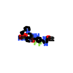 CCOc1cncc(-c2ccc(C(=O)N[C@H](CCN3CCCCC3)c3cc(NS(=O)(=O)C4CC4)ccn3)c(F)c2F)n1